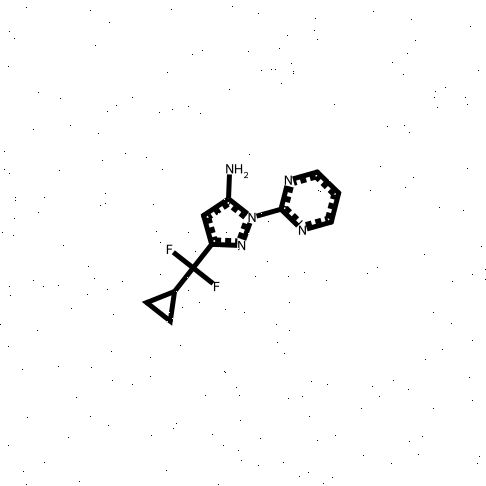 Nc1cc(C(F)(F)C2CC2)nn1-c1ncccn1